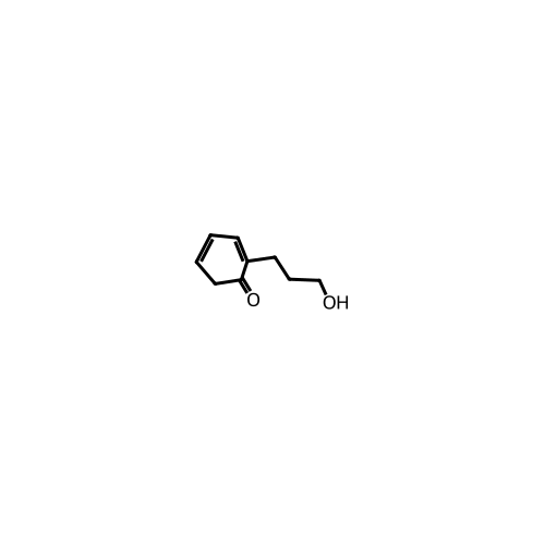 O=C1CC=CC=C1CCCO